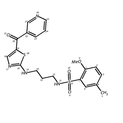 COc1ccc(C)cc1S(=O)(=O)NCCCNc1ncc(C(=O)c2cccnc2)s1